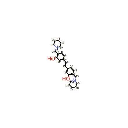 Oc1cc(C=Cc2ccc(CN3CCCCC3)c(O)c2)ccc1CN1CCCCC1